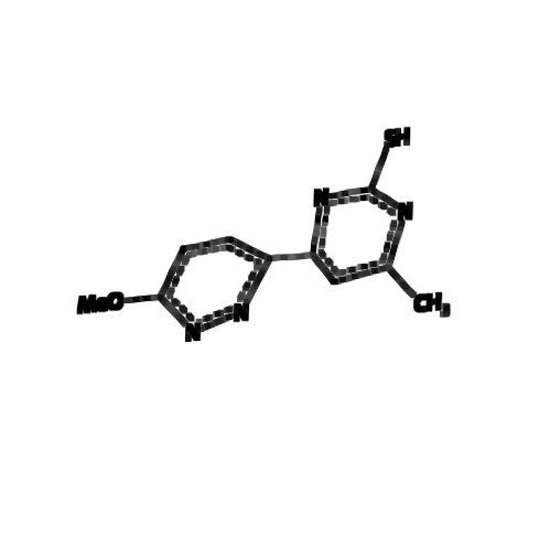 COc1ccc(-c2cc(C)nc(S)n2)nn1